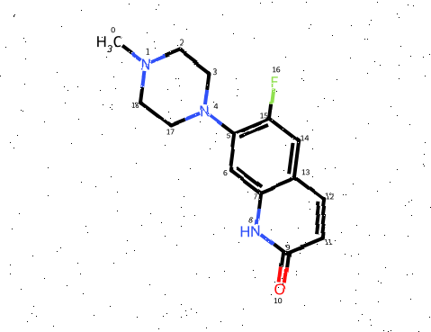 CN1CCN(c2cc3[nH]c(=O)ccc3cc2F)CC1